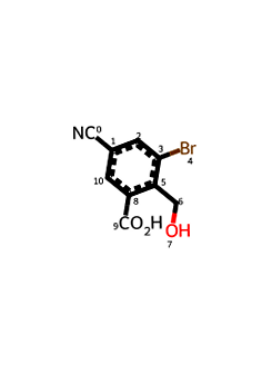 N#Cc1cc(Br)c(CO)c(C(=O)O)c1